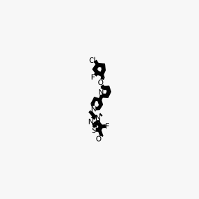 Cn1c(CN2CC=C(c3cccc(OCc4ccc(Cl)cc4F)n3)CC2)nc2sc(C=O)c(F)c21